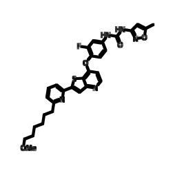 COCCCCCCc1cccc(-c2cc3nccc(Oc4ccc(NC(=O)Nc5cc(C)on5)cc4F)c3s2)n1